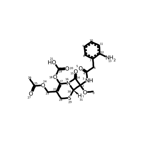 COC1(NC(=O)Cc2ccccc2N)C(=O)N2C(OC(=O)O)=C(COC(C)=O)CS[C@H]21